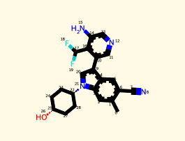 Cc1cc2c(cc1C#N)c(-c1cncc(N)c1C(F)F)cn2[C@H]1CC[C@@H](O)CC1